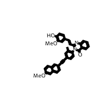 COc1ccc2cc(C#Cc3ccc(-n4c(C=Cc5ccc(O)c(OC)c5)nc5ccccc5c4=O)c(C)c3)ccc2c1